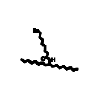 CCCCCCCCC(CCCCCCCC)NC(=O)CCCCCCCBr